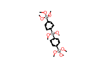 CO[Si](OC)(OC)c1ccc([Si](OC)(OC)c2ccc([Si](OC)(OC)OC)cc2)cc1